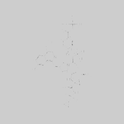 C=C[C@@H]1C[C@]1(NC(=O)[C@@H]1C[C@@H](Oc2ncc(OC)c3ccc(Cl)cc23)CN1C(=O)[C@H](Nc1ccc(C(=O)OC(C)(C)C)cc1)C(C)(C)C)C(=O)NS(=O)(=O)C1CC1